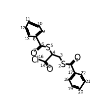 O=C(SCC(SC(=O)c1ccccc1)C(=O)Cl)c1ccccc1